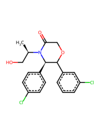 C[C@H](CO)N1C(=O)COC(c2cccc(Cl)c2)[C@H]1c1ccc(Cl)cc1